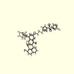 C#Cc1c(F)ccc2cccc(-c3ncc4c(N5CC6CCC(C5)N6)nc(OCCCn5ccc(S(=O)(=O)n6cnc(C)n6)n5)nc4c3F)c12